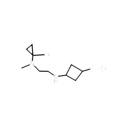 CCOC(=O)C1CC(NCCN(C)C2(CC)CC2)C1